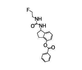 O=C(NCCF)NC1CCc2c(OC(=O)c3ccccc3)cccc21